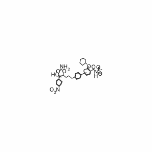 CS(=O)(=O)NC(=O)c1ccc(-c2ccc(CCCC(OC(N)=O)[C@H](O)c3ccc([N+](=O)[O-])cc3)cc2)cc1OC1CCCCC1